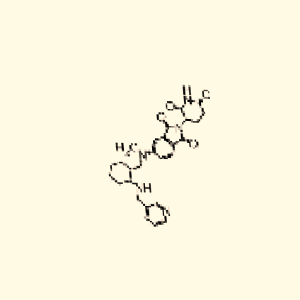 C/[N+](=C\C1CCCC[C@@H]1NCc1cccnc1)c1ccc2c(c1)C(=O)N(C1CCC(=O)NC1=O)C2=O